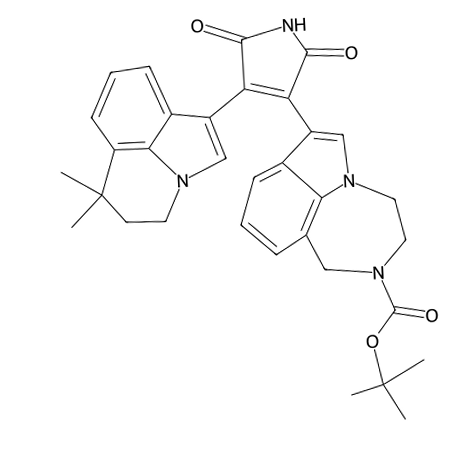 CC(C)(C)OC(=O)N1CCn2cc(C3=C(c4cn5c6c(cccc46)C(C)(C)CC5)C(=O)NC3=O)c3cccc(c32)C1